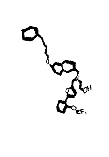 OCCN(Cc1ccc2cc(OCCCCCc3ccccc3)ccc2c1)Cc1ccc(-c2ccccc2OC(F)(F)F)o1